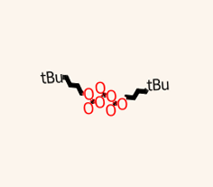 CC(C)(C)CCCCOC(=O)OC(=O)OC(=O)OCCCCC(C)(C)C